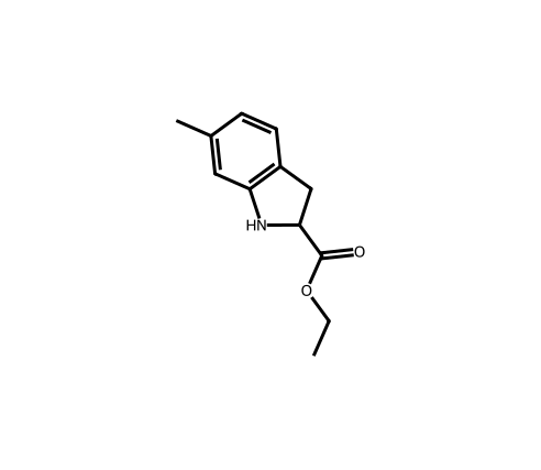 CCOC(=O)C1Cc2ccc(C)cc2N1